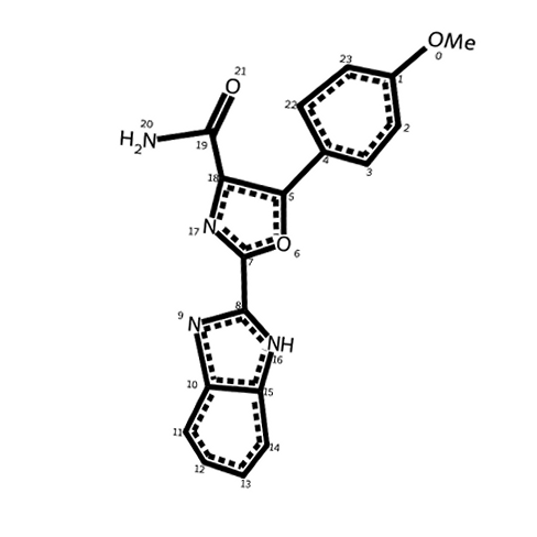 COc1ccc(-c2oc(-c3nc4ccccc4[nH]3)nc2C(N)=O)cc1